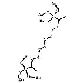 CCC(C)O[Si](OC(C)CC)(OC(C)CC)C(C)SSSSSSSSC(C)[Si](OC(C)CC)(OC(C)CC)OC(C)CC